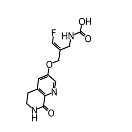 O=C(O)NCC(=CF)COc1cnc2c(c1)CCNC2=O